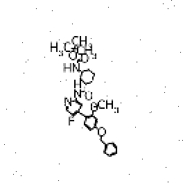 COc1cc(OCc2ccccc2)ccc1-c1cc(NC(=O)[C@H]2CCC[C@@H](NC(=O)OC(C)(C)C)C2)ncc1F